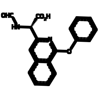 O=CN[C@H](C(=O)O)c1cc2ccccc2c(Oc2ccccc2)n1